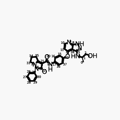 C[C@H](CO)Nc1n[nH]c2nccc(Oc3ccc(NC(=O)c4c5n(n(-c6ccccc6)c4=O)CCC5)cc3)c12